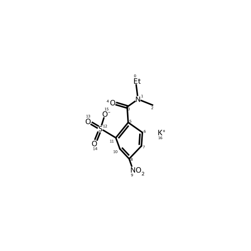 CCN(C)C(=O)c1ccc([N+](=O)[O-])cc1S(=O)(=O)[O-].[K+]